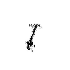 CC(C)CCCCCCCCCCCCCCC(=O)N[C@@H](CCCN)C(=O)O